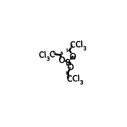 ClC(Cl)(Cl)COB(OCC(Cl)(Cl)Cl)OCC(Cl)(Cl)Cl